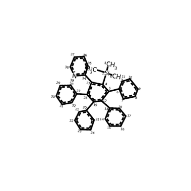 C[Si](C)(C)c1c(-c2ccccc2)c(-c2ccccc2)c(-c2ccccc2)c(-c2ccccc2)c1-c1ccccn1